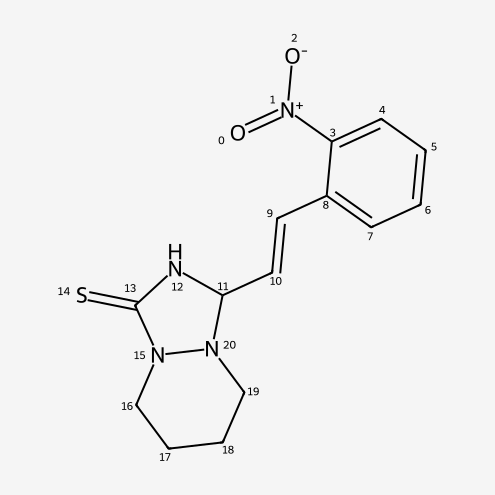 O=[N+]([O-])c1ccccc1/C=C/C1NC(=S)N2CCCCN12